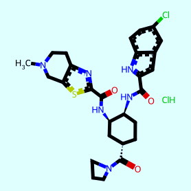 CN1CCc2nc(C(=O)N[C@@H]3C[C@@H](C(=O)N4CCC4)CC[C@@H]3NC(=O)c3cc4cc(Cl)ccc4[nH]3)sc2C1.Cl